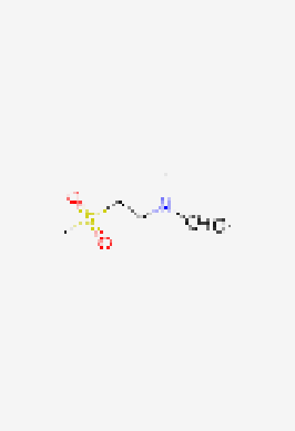 CN([C]=O)CCS(C)(=O)=O